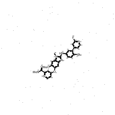 CNC(=O)c1cc(Oc2cc3nc(Nc4ccc(C(C)(C)C)c(-c5ccnc(F)c5)c4)n(C)c3cc2OC)ccn1